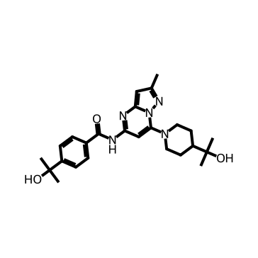 Cc1cc2nc(NC(=O)c3ccc(C(C)(C)O)cc3)cc(N3CCC(C(C)(C)O)CC3)n2n1